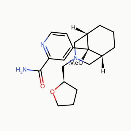 CO[C@]1(c2ccnc(C(N)=O)c2)[C@@H]2CCC[C@H]1CN(C[C@H]1CCCO1)C2